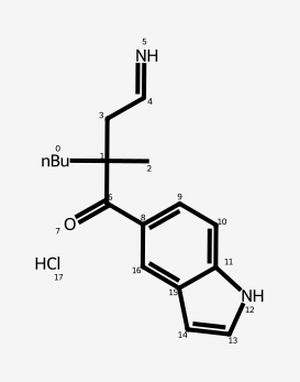 CCCCC(C)(CC=N)C(=O)c1ccc2[nH]ccc2c1.Cl